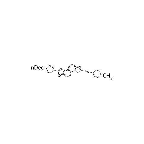 CCCCCCCCCCc1ccc(-c2cc3c(ccc4c5cc(C#Cc6ccc(C)cc6)sc5ccc34)s2)cc1